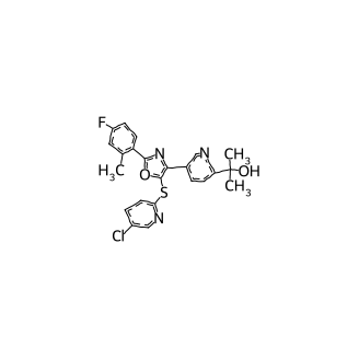 Cc1cc(F)ccc1-c1nc(-c2ccc(C(C)(C)O)nc2)c(Sc2ccc(Cl)cn2)o1